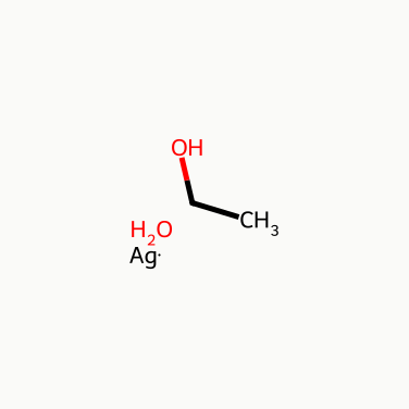 CCO.O.[Ag]